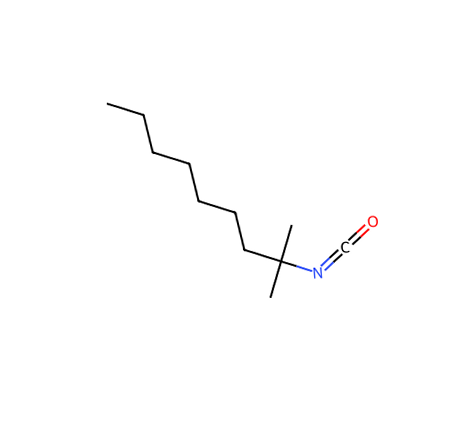 CCCCCCCC(C)(C)N=C=O